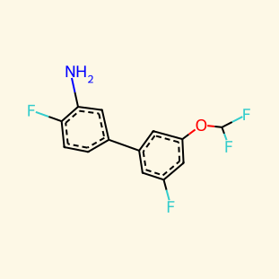 Nc1cc(-c2cc(F)cc(OC(F)F)c2)ccc1F